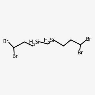 BrC(Br)CC[SiH2]C[SiH2]CCC(Br)Br